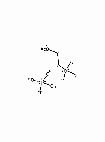 CC(=O)OCC[N+](C)(C)C.[O-][Cl+3]([O-])([O-])[O-]